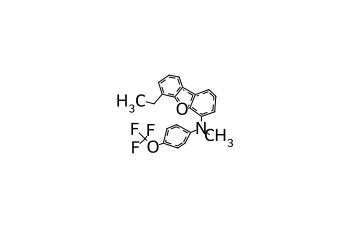 CCc1cccc2c1oc1c(N(C)c3ccc(OC(F)(F)F)cc3)cccc12